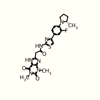 C[C@H]1CCCN1c1ccc(-c2csc(NC(=O)Cc3nc4c([nH]3)c(=O)n(C)c(=O)n4C)n2)cc1F